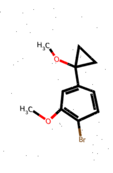 COc1cc(C2(OC)CC2)ccc1Br